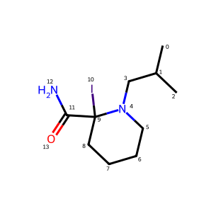 CC(C)CN1CCCCC1(I)C(N)=O